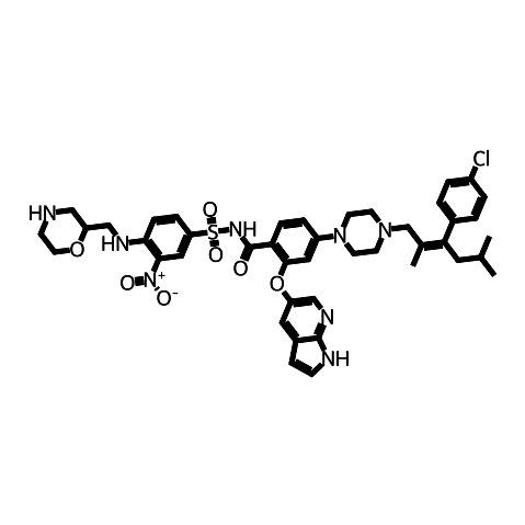 C/C(CN1CCN(c2ccc(C(=O)NS(=O)(=O)c3ccc(NCC4CNCCO4)c([N+](=O)[O-])c3)c(Oc3cnc4[nH]ccc4c3)c2)CC1)=C(\CC(C)C)c1ccc(Cl)cc1